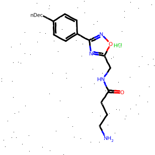 CCCCCCCCCCc1ccc(-c2noc(CNC(=O)CCCN)n2)cc1.Cl